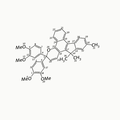 COc1ccc(C2(c3ccc(OC)c(OC)c3)C=Cc3c4c(c5ccccc5c3O2)-c2ccc(C)cc2C4(C)C)cc1OC